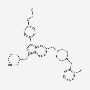 FCOc1ccc(-c2cn(CC3CCCNC3)c3ccc(CN4CCN(Cc5ccccc5Cl)CC4)cc23)cc1